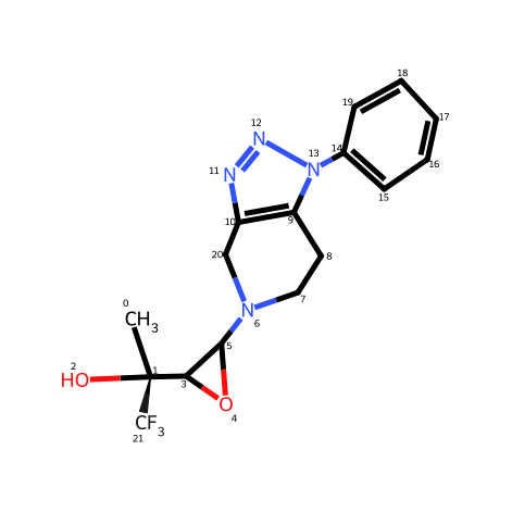 C[C@@](O)(C1OC1N1CCc2c(nnn2-c2ccccc2)C1)C(F)(F)F